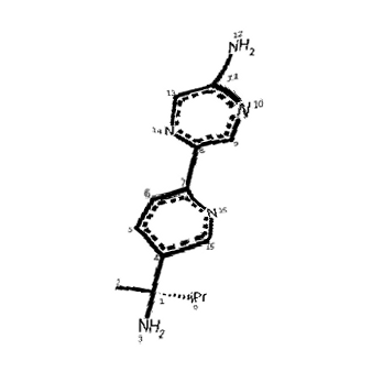 CC(C)[C@@](C)(N)c1ccc(-c2cnc(N)cn2)nc1